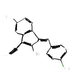 C#CC1=C(C)C(=Cc2ccc(Cl)cc2)c2ccc(C)cc21